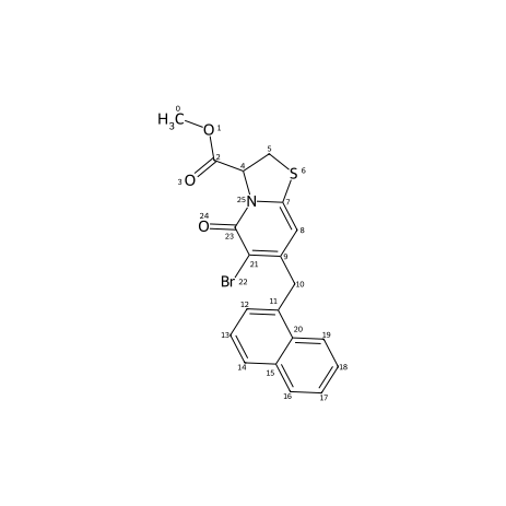 COC(=O)C1CSc2cc(Cc3cccc4ccccc34)c(Br)c(=O)n21